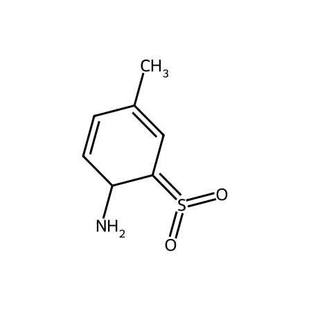 CC1=CC(=S(=O)=O)C(N)C=C1